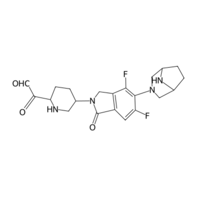 O=CC(=O)C1CCC(N2Cc3c(cc(F)c(N4CC5CCC(C4)N5)c3F)C2=O)CN1